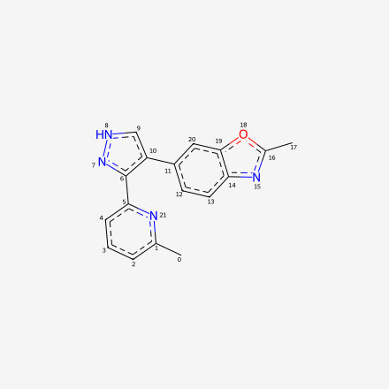 Cc1cccc(-c2n[nH]cc2-c2ccc3nc(C)oc3c2)n1